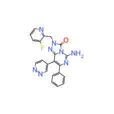 Nc1nc(-c2ccccc2)c(-c2ccnnc2)c2nn(Cc3ncccc3F)c(=O)n12